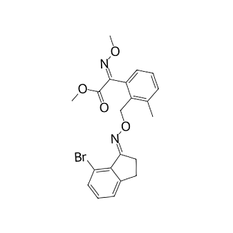 CO/N=C(/C(=O)OC)c1cccc(C)c1CO/N=C1\CCc2cccc(Br)c21